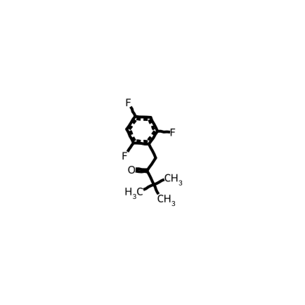 CC(C)(C)C(=O)Cc1c(F)cc(F)cc1F